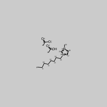 CC(=O)O.CC(=O)[O-].CCCCCCCC[n+]1ccn(C)c1